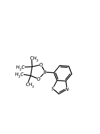 CC1(C)OB(c2cccc3ncsc23)OC1(C)C